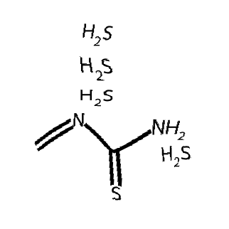 C=NC(N)=S.S.S.S.S